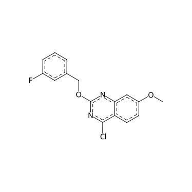 COc1ccc2c(Cl)nc(OCc3cccc(F)c3)nc2c1